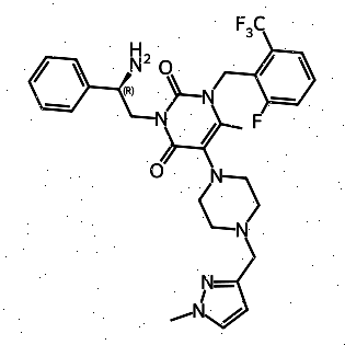 Cc1c(N2CCN(Cc3ccn(C)n3)CC2)c(=O)n(C[C@H](N)c2ccccc2)c(=O)n1Cc1c(F)cccc1C(F)(F)F